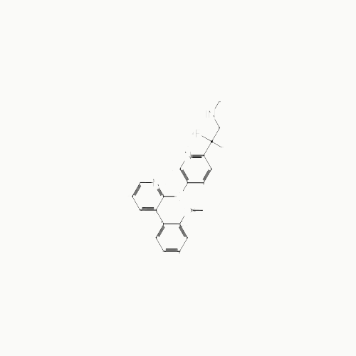 CNCC(F)(F)c1ccc(Oc2ncccc2-c2ccccc2OC)cn1